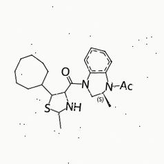 CC(=O)N1c2ccccc2N(C(=O)C2NC(C)SC2C2CCCCCCC2)C[C@@H]1C